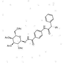 CC(=O)OC[C@H]1O[C@@H](ONC(=O)c2ccc(NC(=O)[C@H](c3ccccc3)C(C)C)cc2)[C@H](OC(C)=O)[C@@H](OC(C)=O)[C@H]1OC(C)=O